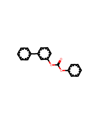 O=C(Oc1ccccc1)Oc1cccc(-c2ccccc2)c1